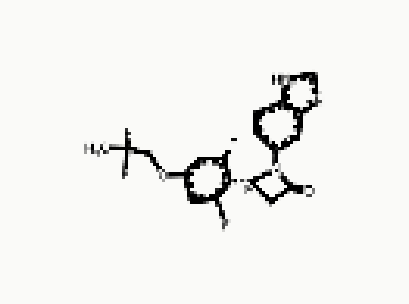 CC(F)(F)COc1cc(F)c([C@H]2CC(=O)N2c2ccc3[nH]cnc3c2)c(F)c1